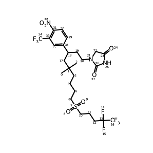 CC(C)(CCCCS(=O)(=O)CCCC(F)(F)C(F)(F)F)CC(CCN1CC(=O)NC1=O)c1ccc([N+](=O)[O-])c(C(F)(F)F)c1